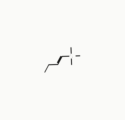 CCC=C[N+](C)(C)C